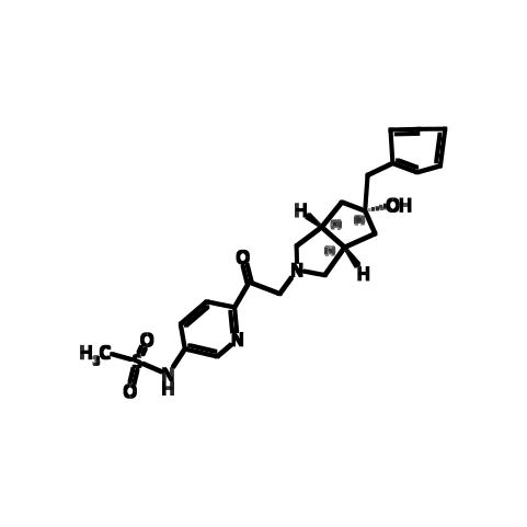 CS(=O)(=O)Nc1ccc(C(=O)CN2C[C@@H]3C[C@@](O)(Cc4ccccc4)C[C@@H]3C2)nc1